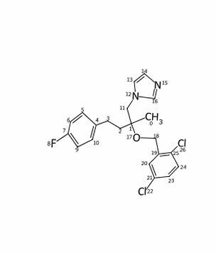 CC(CCc1ccc(F)cc1)(Cn1ccnc1)OCc1cc(Cl)ccc1Cl